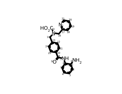 Nc1ccccc1NC(=O)c1ccc(CN(Cc2ccccn2)C(=O)O)cc1